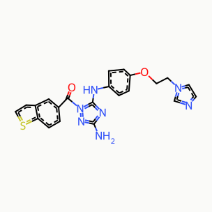 Nc1nc(Nc2ccc(OCCn3ccnc3)cc2)n(C(=O)c2ccc3sccc3c2)n1